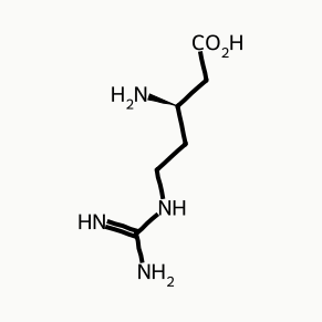 N=C(N)NCC[C@@H](N)CC(=O)O